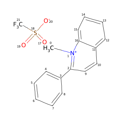 C[n+]1c(-c2ccccc2)ccc2ccccc21.O=S(=O)([O-])C(F)(F)F